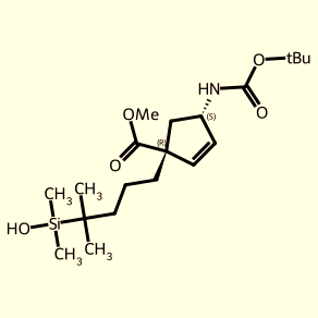 COC(=O)[C@@]1(CCCC(C)(C)[Si](C)(C)O)C=C[C@@H](NC(=O)OC(C)(C)C)C1